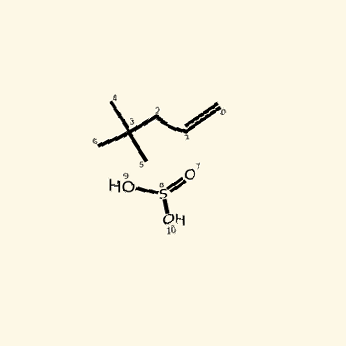 C=CCC(C)(C)C.O=S(O)O